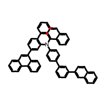 c1ccc(-c2ccc(-c3cc4ccccc4c4ccccc34)cc2N(c2ccc(-c3cccc(-c4ccc5ccccc5c4)c3)cc2)c2cccc3ccccc23)cc1